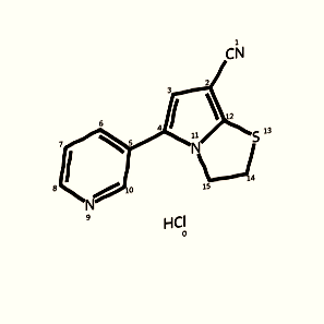 Cl.N#Cc1cc(-c2cccnc2)n2c1SCC2